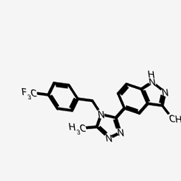 Cc1n[nH]c2ccc(-c3nnc(C)n3Cc3ccc(C(F)(F)F)cc3)cc12